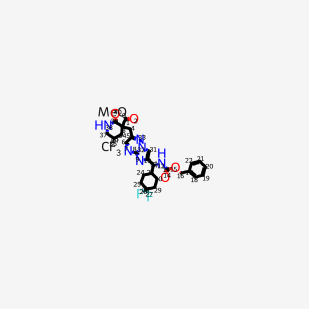 COC(=O)C1(Cc2cnc3nc([C@@H](NC(=O)OCc4ccccc4)C4CCC(F)(F)CC4)cn3n2)C[C@@H](C(F)(F)F)CNC1=O